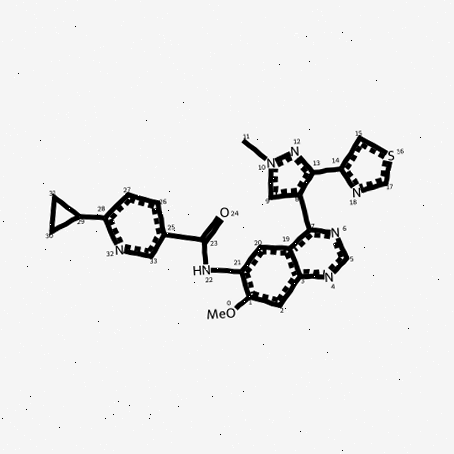 COc1cc2ncnc(-c3cn(C)nc3-c3cscn3)c2cc1NC(=O)c1ccc(C2CC2)nc1